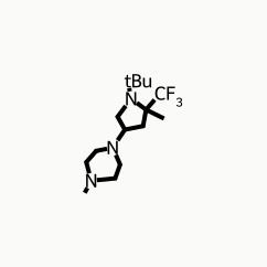 CN1CCN(C2CN(C(C)(C)C)C(C)(C(F)(F)F)C2)CC1